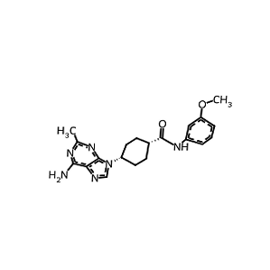 COc1cccc(NC(=O)[C@H]2CC[C@@H](n3cnc4c(N)nc(C)nc43)CC2)c1